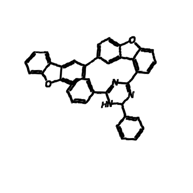 c1ccc(C2=NC(c3cccc4oc5ccc(-c6ccc7oc8ccccc8c7c6)cc5c34)=NC(c3ccccc3)N2)cc1